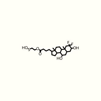 CC12CCC3C(C(O)CC4CC(O)C(F)(F)CC43C)C1CCC2CCCC(=O)OCCSO